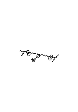 CCCCC(CCCC)CCOC(=O)CCCCCCCCCC(CCCCCCCC(=O)OCCC(CCCC)CCCC)OCCCCN(C)CC